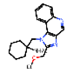 CCOCc1nc2cnc3ccccc3c2n1CC1(NC(C)=O)CCCCC1